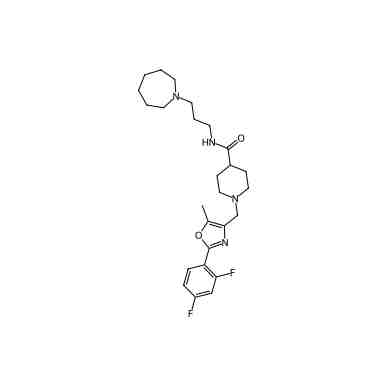 Cc1oc(-c2ccc(F)cc2F)nc1CN1CCC(C(=O)NCCCN2CCCCCC2)CC1